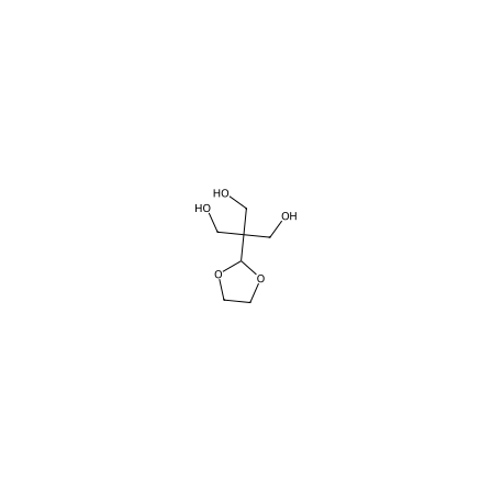 OCC(CO)(CO)C1OCCO1